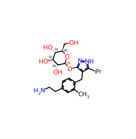 Cc1cc(CCN)ccc1Cc1c(O[C@@H]2O[C@H](CO)[C@@H](O)[C@H](O)[C@H]2O)n[nH]c1C(C)C